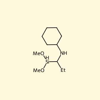 CCC(NC1CCCCC1)[SiH](OC)OC